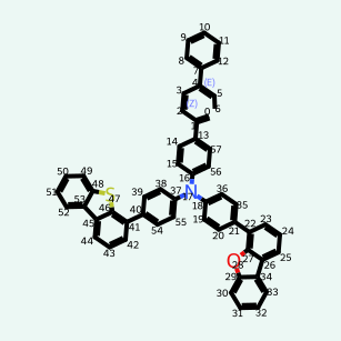 C=C(/C=C\C(=C/C)c1ccccc1)c1ccc(N(c2ccc(-c3cccc4c3oc3ccccc34)cc2)c2ccc(-c3cccc4c3sc3ccccc34)cc2)cc1